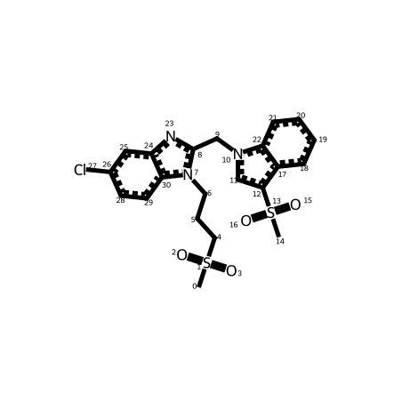 CS(=O)(=O)CCCn1c(Cn2cc(S(C)(=O)=O)c3ccccc32)nc2cc(Cl)ccc21